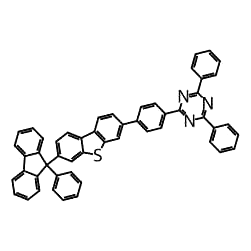 c1ccc(-c2nc(-c3ccccc3)nc(-c3ccc(-c4ccc5c(c4)sc4cc(C6(c7ccccc7)c7ccccc7-c7ccccc76)ccc45)cc3)n2)cc1